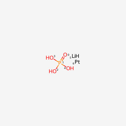 O=P(O)(O)O.[LiH].[Pt]